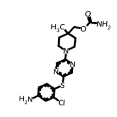 CC1(COC(N)=O)CCN(c2cnc(Sc3ccc(N)cc3Cl)cn2)CC1